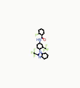 O=C(Nc1ccc(-n2c(C(F)(F)F)nc3ccccc32)c(C(F)(F)F)c1)c1ccccc1F